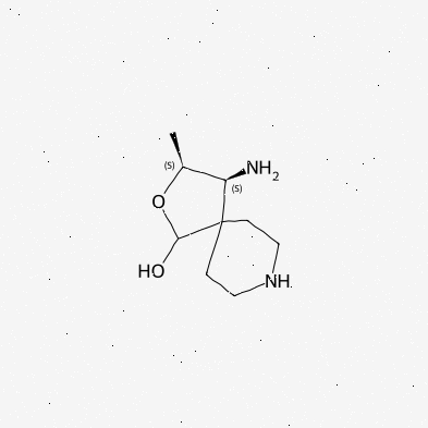 C[C@@H]1OC(O)C2(CCNCC2)[C@@H]1N